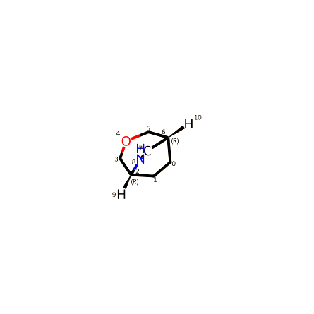 C1C[C@@H]2COC[C@H]1CN2